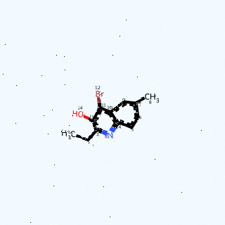 CCc1nc2ccc(C)cc2c(Br)c1O